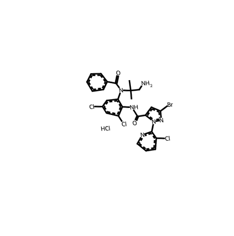 CC(C)(CN)N(C(=O)c1ccccc1)c1cc(Cl)cc(Cl)c1NC(=O)c1cc(Br)nn1-c1ncccc1Cl.Cl